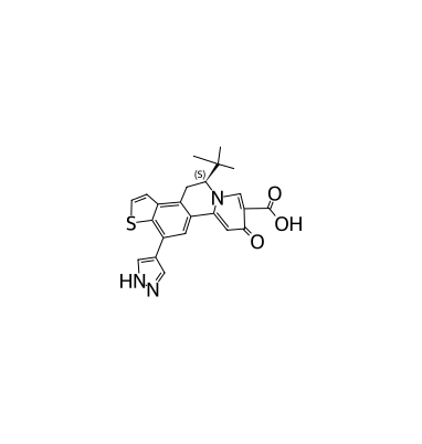 CC(C)(C)[C@@H]1Cc2c(cc(-c3cn[nH]c3)c3sccc23)-c2cc(=O)c(C(=O)O)cn21